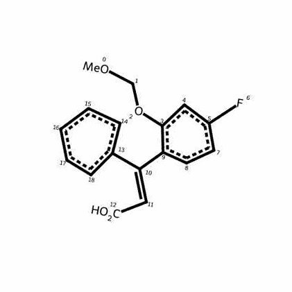 COCOc1cc(F)ccc1/C(=C/C(=O)O)c1ccccc1